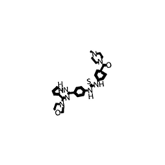 CN1CCN(C(=O)c2ccc(NC(=S)Nc3ccc(C(=N)/N=C(\c4ccc[nH]4)N4CCOCC4)cc3)cc2)CC1